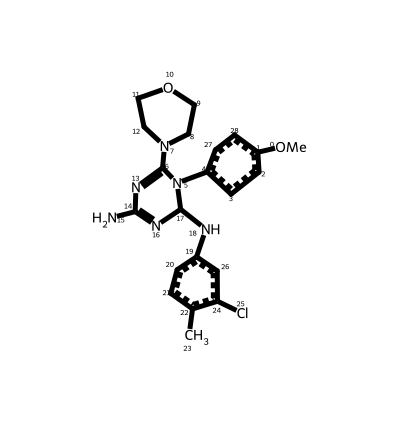 COc1ccc(N2C(N3CCOCC3)=NC(N)=NC2Nc2ccc(C)c(Cl)c2)cc1